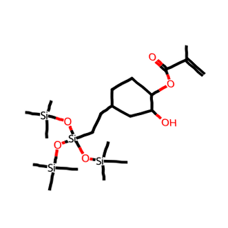 C=C(C)C(=O)OC1CCC(CC[Si](O[Si](C)(C)C)(O[Si](C)(C)C)O[Si](C)(C)C)CC1O